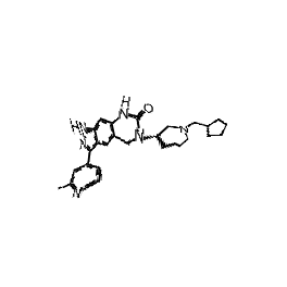 Cc1cc(-c2n[nH]c3cc4c(cc23)CN([C@@H]2CCCN(CC3CCCC3)C2)C(=O)N4)ccn1